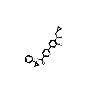 CC(=O)N(CC1CC1)c1ccc(-c2ccc(C(=O)NC3(c4ccccc4)CC3)cn2)cc1Cl